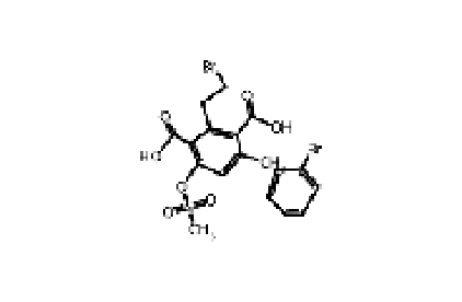 Brc1ccccc1.Cc1cc(OS(C)(=O)=O)c(C(=O)O)c(CCBr)c1C(=O)O